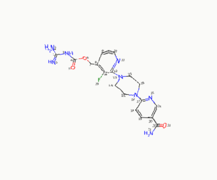 N=C(N)NC(=O)OCc1ccnc(N2CCN(c3ccc(C(N)=O)cn3)CC2)c1F